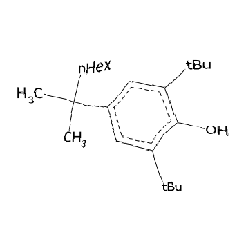 CCCCCCC(C)(C)c1cc(C(C)(C)C)c(O)c(C(C)(C)C)c1